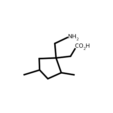 CC1CC(C)C(CN)(CC(=O)O)C1